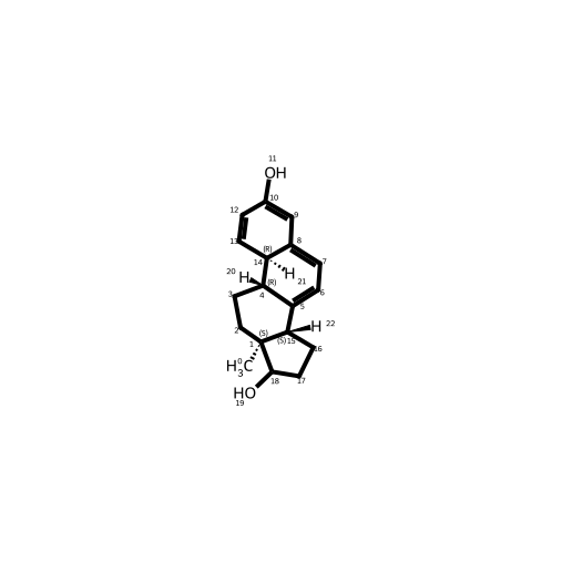 C[C@]12CC[C@H]3C(=CC=C4C=C(O)C=C[C@@H]43)[C@@H]1CCC2O